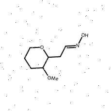 COC1CCCOC1CC=NO